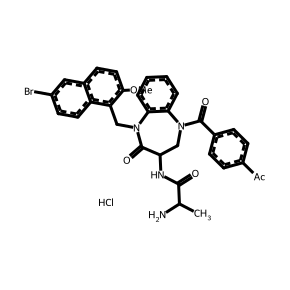 COc1ccc2cc(Br)ccc2c1CN1C(=O)C(NC(=O)C(C)N)CN(C(=O)c2ccc(C(C)=O)cc2)c2ccccc21.Cl